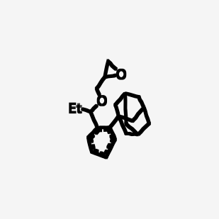 CCC(OCC1CO1)c1ccccc1C12CC3CC(CC(C3)C1)C2